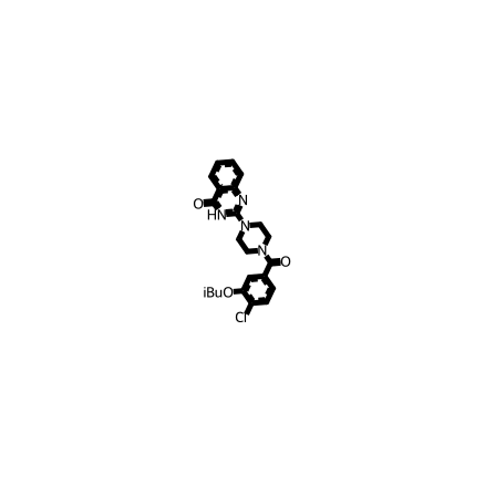 CC(C)COc1cc(C(=O)N2CCN(c3nc4ccccc4c(=O)[nH]3)CC2)ccc1Cl